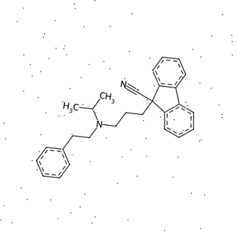 CC(C)N(CCCC1(C#N)c2ccccc2-c2ccccc21)CCc1ccccc1